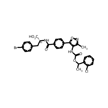 Cc1noc(-c2ccc(C(=O)N[C@H](Cc3ccc(Br)cc3)C(=O)O)cc2)c1NC(=O)OC(C)c1ccccc1Cl